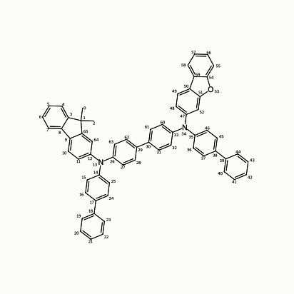 CC1(C)c2ccccc2-c2ccc(N(c3ccc(-c4ccccc4)cc3)c3ccc(-c4ccc(N(c5ccc(-c6ccccc6)cc5)c5ccc6c(c5)oc5ccccc56)cc4)cc3)cc21